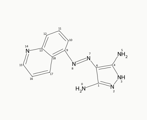 Nc1n[nH]c(N)c1N=Nc1cccc2ncccc12